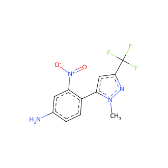 Cn1nc(C(F)(F)F)cc1-c1ccc(N)cc1[N+](=O)[O-]